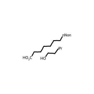 CC(C)CCO.CCCCCCCCCCCCCCCC(=O)O